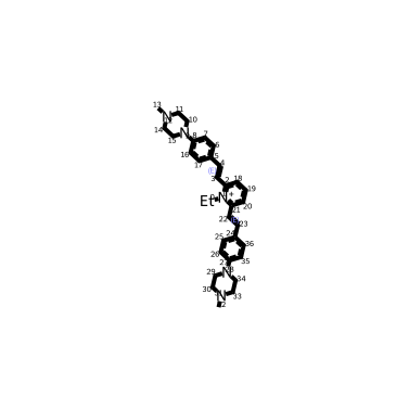 CC[n+]1c(/C=C/c2ccc(N3CCN(C)CC3)cc2)cccc1/C=C/c1ccc(N2CCN(C)CC2)cc1